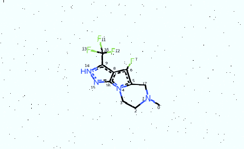 CN1CCn2c(c(F)c3c(C(F)(F)F)[nH]nc32)C1